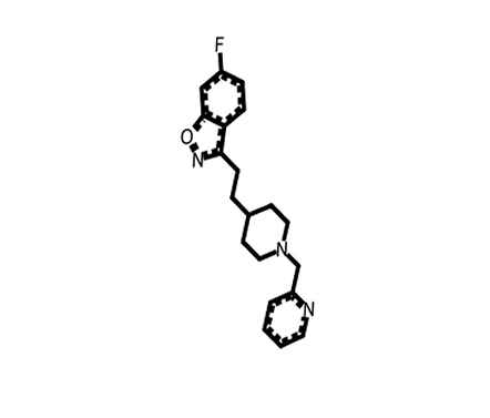 Fc1ccc2c(CCC3CCN(Cc4ccccn4)CC3)noc2c1